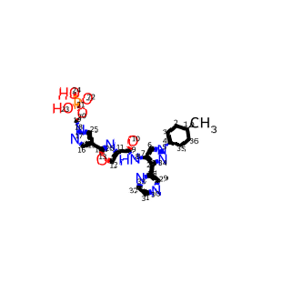 C[C@H]1CC[C@H](n2cc(NC(=O)c3coc(-c4cnn(COP(=O)(O)O)c4)n3)c(-c3cnccn3)n2)CC1